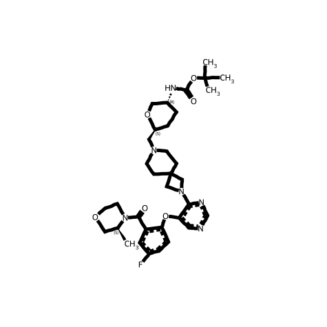 C[C@H]1COCCN1C(=O)c1cc(F)ccc1Oc1cncnc1N1CC2(CCN(C[C@@H]3CC[C@@H](NC(=O)OC(C)(C)C)CO3)CC2)C1